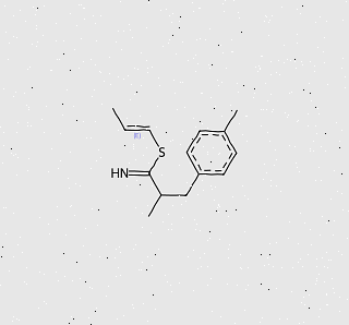 C/C=C/SC(=N)C(C)Cc1ccc(C)cc1